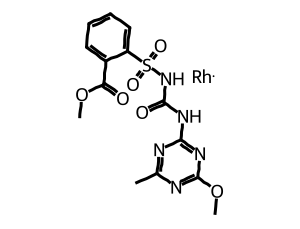 COC(=O)c1ccccc1S(=O)(=O)NC(=O)Nc1nc(C)nc(OC)n1.[Rh]